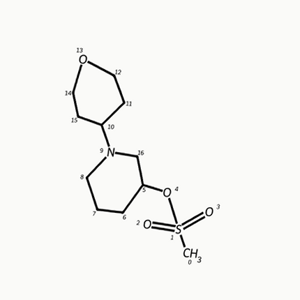 CS(=O)(=O)OC1CCCN(C2CCOCC2)C1